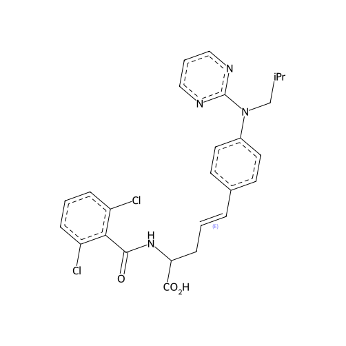 CC(C)CN(c1ccc(/C=C/CC(NC(=O)c2c(Cl)cccc2Cl)C(=O)O)cc1)c1ncccn1